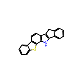 c1ccc2c(c1)Cc1c-2[nH]c2c1ccc1c3ccccc3sc12